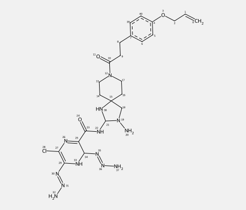 C=CCOc1ccc(CCC(=O)N2CCC3(CC2)CN(N)C(NC(=O)C2=NC(Cl)=C(N=NN)NC2N=NN)N3)cc1